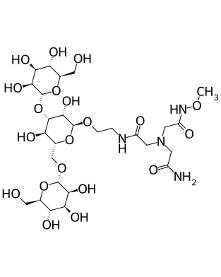 CONC(=O)CN(CC(N)=O)CC(=O)NCCO[C@H]1O[C@H](CO[C@H]2O[C@H](CO)[C@@H](O)[C@H](O)[C@@H]2O)[C@@H](O)[C@H](O[C@H]2O[C@H](CO)[C@@H](O)[C@H](O)[C@@H]2O)[C@@H]1O